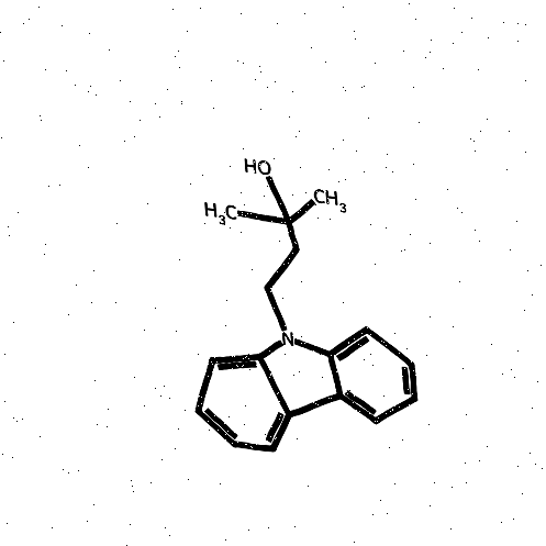 CC(C)(O)CCn1c2ccccc2c2ccccc21